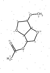 COC1COC2C(OC(C)=O)COC12